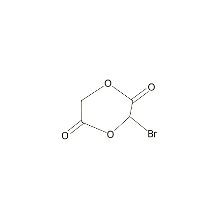 O=C1COC(=O)C(Br)O1